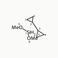 C1CC1C1CC1.CO[SiH2]OC